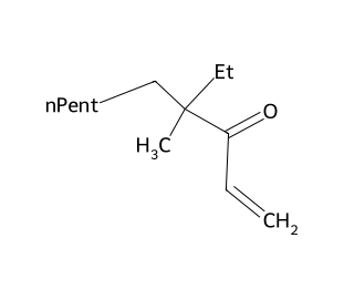 C=CC(=O)C(C)(CC)CCCCCC